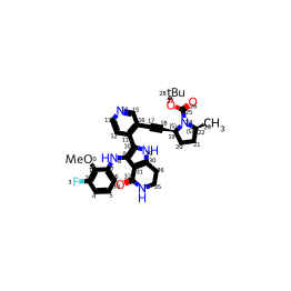 COc1c(F)cccc1Nc1c(-c2ccncc2C#C[C@@H]2CC[C@H](C)N2C(=O)OC(C)(C)C)[nH]c2c1C(=O)NCC2